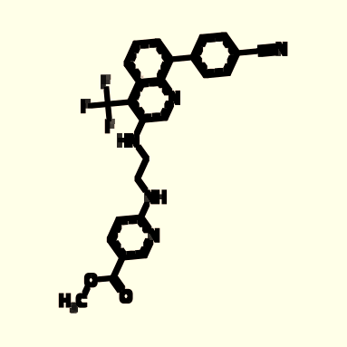 COC(=O)c1ccc(NCCNc2cnc3c(-c4ccc(C#N)cc4)cccc3c2C(F)(F)F)nc1